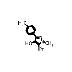 Cc1ccc(-c2nn(C)c(C(C)C)c2O)cc1